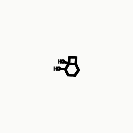 OC1CCCC2CCC12O